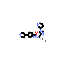 CC(NC(=O)c1ccc(-c2ccncc2)cc1)c1cn(-c2cccnc2)cn1